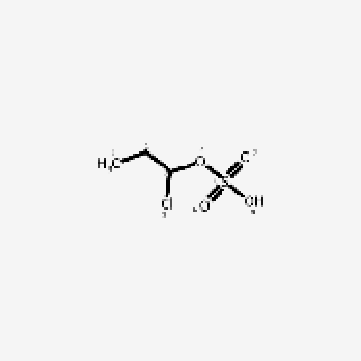 CCC(Cl)OS(=O)(=O)O